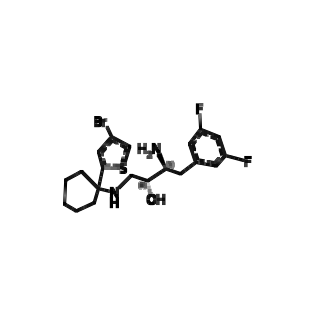 N[C@@H](Cc1cc(F)cc(F)c1)[C@H](O)CNC1(c2cc(Br)cs2)CCCCC1